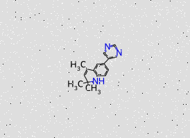 CC1=CC(C)(C)Nc2ccc(-c3cncnc3)cc21